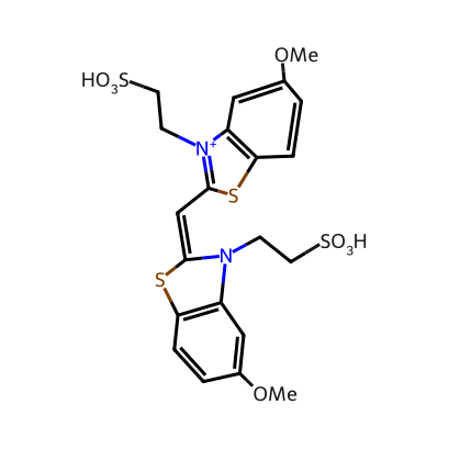 COc1ccc2c(c1)N(CCS(=O)(=O)O)/C(=C\c1sc3ccc(OC)cc3[n+]1CCS(=O)(=O)O)S2